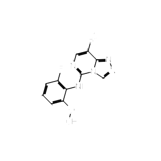 COc1cccc(F)c1Nc1ncc(Br)c2nncn12